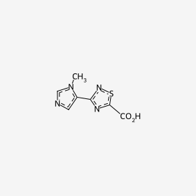 Cn1cncc1-c1nsc(C(=O)O)n1